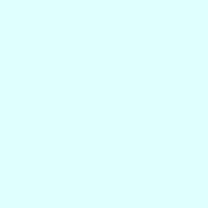 Cc1ccc2c(c1)Cc1cc(C)c(C(=O)O)cc1-2